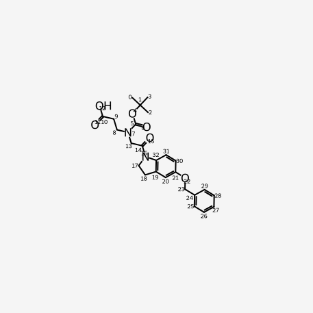 CC(C)(C)OC(=O)N(CCC(=O)O)CC(=O)N1CCc2cc(OCc3ccccc3)ccc21